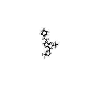 CC(C)(C)c1nc(N2CCC(F)(F)C2)c2ncn(CCc3cccnc3)c2n1